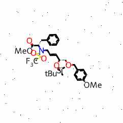 COC(=O)[C@H](Cc1ccccc1)N(C/C=C/[C@H](COCc1ccc(OC)cc1)O[Si](C)(C)C(C)(C)C)S(=O)(=O)C(F)(F)F